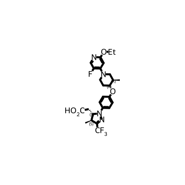 CCOc1cc(N2CC[C@@H](Oc3ccc(N4N=C(C(F)(F)F)[C@@H](C)[C@@H]4CC(=O)O)cc3)[C@H](C)C2)c(F)cn1